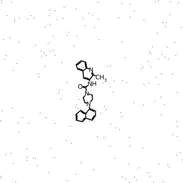 Cc1nc2ccccc2cc1NC(=O)N1CCN(c2cccc3ccccc23)CC1